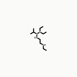 CCNCCNN(C(C)C)N(CC)CC